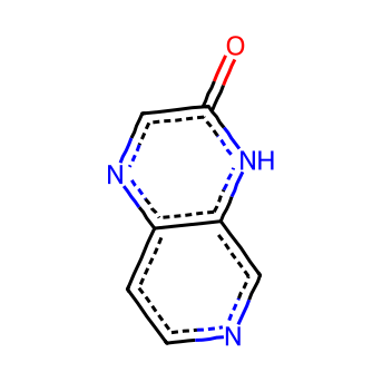 O=c1cnc2ccncc2[nH]1